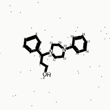 OCCC(c1ccccc1)N1CCN(c2ccccc2)CC1